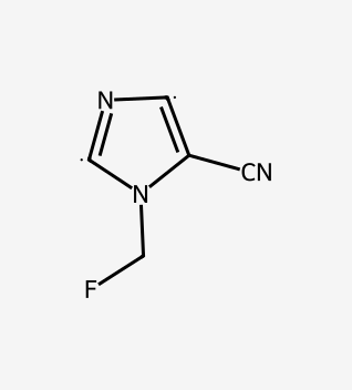 N#Cc1[c]n[c]n1CF